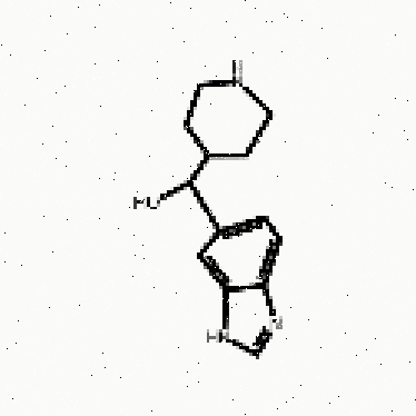 OC(c1ccc2nc[nH]c2c1)C1CCNCC1